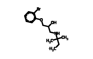 [CH2]CC(C)(C)NCC(O)COc1ccccc1Br